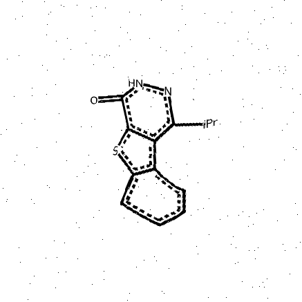 CC(C)c1n[nH]c(=O)c2sc3ccccc3c12